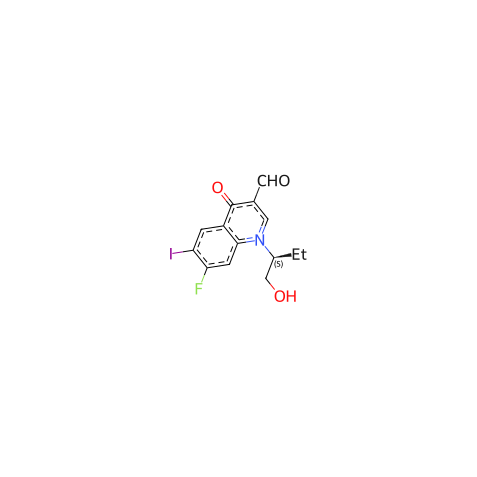 CC[C@@H](CO)n1cc(C=O)c(=O)c2cc(I)c(F)cc21